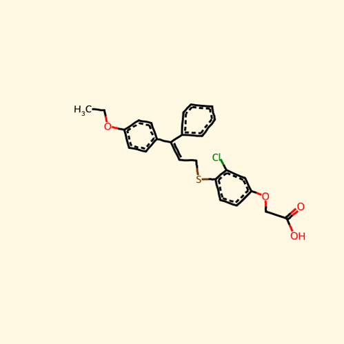 CCOc1ccc(C(=CCSc2ccc(OCC(=O)O)cc2Cl)c2ccccc2)cc1